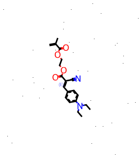 C=C(C)C(=O)OCCOC(=O)/C(C#N)=C/c1ccc(N(CC)CC)cc1